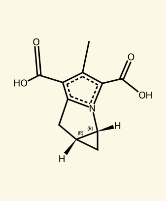 Cc1c(C(=O)O)c2n(c1C(=O)O)[C@@H]1C[C@@H]1C2